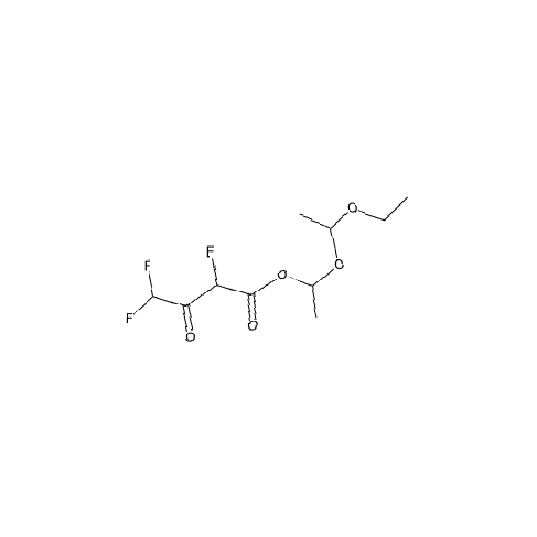 CCOC(C)OC(C)OC(=O)C(F)C(=O)C(F)F